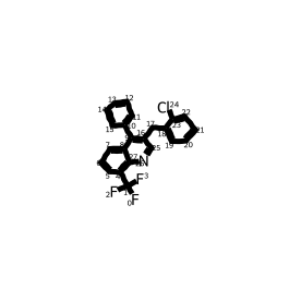 FC(F)(F)c1cccc2c(-c3ccccc3)c(Cc3ccccc3Cl)cnc12